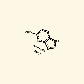 C=O.N#CN.O=Cc1ncc2[nH]cnc2n1